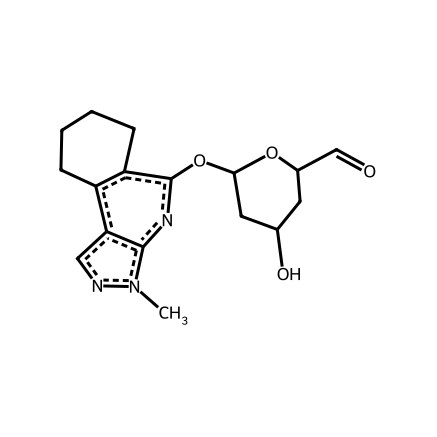 Cn1ncc2c3c(c(OC4CC(O)CC(C=O)O4)nc21)CCCC3